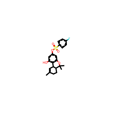 CC1=CC2c3c(O)cc(OS(=O)(=O)c4ccc(F)cc4)cc3OC(C)(C)C2CC1